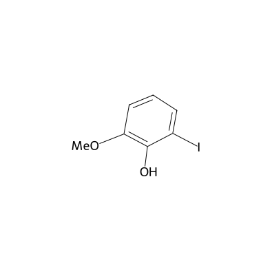 COc1cccc(I)c1O